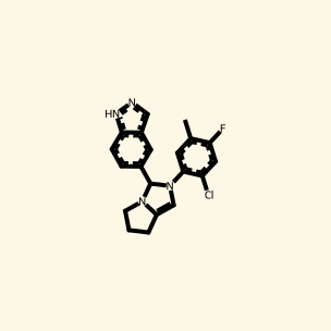 Cc1cc(N2C=C3CCCN3C2c2ccc3[nH]ncc3c2)c(Cl)cc1F